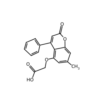 Cc1cc(OCC(=O)O)c2c(-c3ccccc3)cc(=O)oc2c1